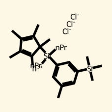 CCC[Si](CCC)(c1cc(C)cc([Si](C)(C)C)c1)C1(C)C(C)=C(C)C(C)=[C]1[Ti+3].[Cl-].[Cl-].[Cl-]